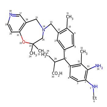 CCNc1ccc(C(c2ccc(C)c(CN3Cc4cnccc4OC(C)(C)C3)c2)C(C)C(=O)O)c(C)c1N